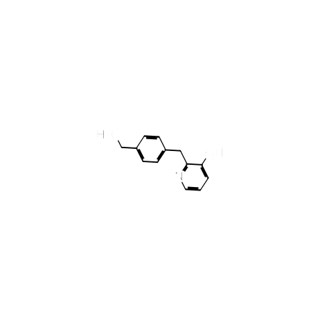 CCc1ccc(Cc2ncccc2O)cc1